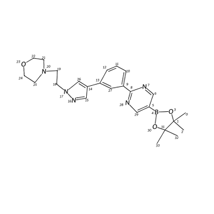 CC1(C)OB(c2cnc(-c3cccc(-c4cnn(CCN5CCOCC5)c4)c3)nc2)OC1(C)C